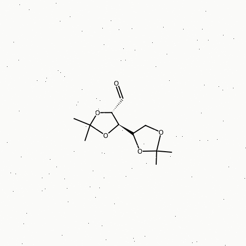 CC1(C)OCC([C@H]2OC(C)(C)O[C@@H]2C=O)O1